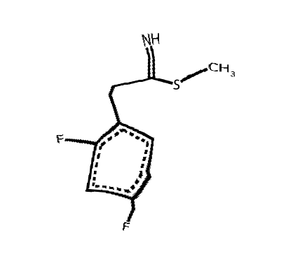 CSC(=N)Cc1ccc(F)cc1F